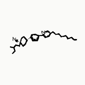 CCCCCCCCCc1ccc(-c2ccc([C@H]3CC[C@](C#N)(CCC(C)CC)CC3)cc2)nc1